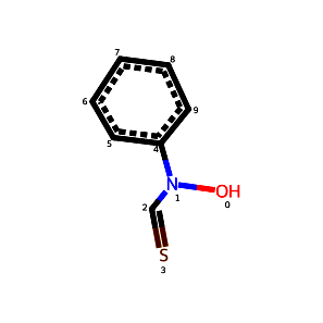 ON(C=S)c1ccccc1